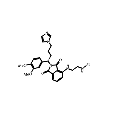 CCNCCNc1cccc2c1C(=O)N([C@H](CCCn1ccnc1)c1ccc(OC)c(OC)c1)C2=O